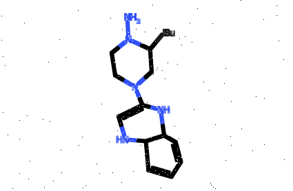 CCC(C)C1CN(C2=CNC3C=CC=CC3N2)CCN1N